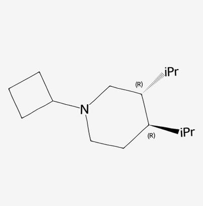 CC(C)[C@H]1CCN(C2CCC2)C[C@@H]1C(C)C